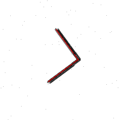 [Ag].[Ag].[Ag].[Ag].[Ag].[Ag].[Ag].[Ag].[Ag].[Ag].[Ag].[Ag].[Ag].[Ag].[Ag].[Ag].[Ag].[Ag].[Ag].[Ag].[Ag].[Ag].[Ag].[Ag].[Ag].[Ag].[Ag].[Ag].[Ag].[Ag].[Ag].[Ag].[Ag].[Ag].[Ag].[Ag].[Ag].[Ag].[Ag].[Ag].[Ag].[Ag].[Ag].[Ag].[Ag].[Ag].[Ag].[Ag].[Ag].[Ag].[Ag].[Ag].[Ag].[Ag].[Ag].[Ag].[Ag].[Ag].[Ag].[Ag].[Ag].[Ag].[Ag].[Ag].[Ag].[Ag].[Ag].[Ag].[Ag].[Ag].[Ag].[Ag].[Ag].[Ag].[Ag].[Ag].[Ag].[Ag].[Ag].[Ag].[Pd].[Pd].[Pd].[Pd].[Pd].[Pd].[Pd].[Pd].[Pd].[Pd].[Pd].[Pd].[Pd].[Pd].[Pd].[Pd].[Pd].[Pd].[Pd].[Pd]